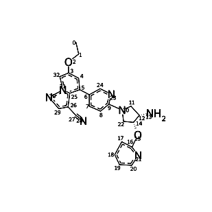 CCOc1cc(-c2ccc(N3C[C@H](N)[C@H](Oc4ccccn4)C3)nc2)c2c(C#N)cnn2c1